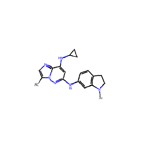 CC(=O)N1CCc2ccc(Nc3cc(NC4CC4)c4ncc(C#N)n4n3)cc21